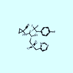 N#CC1(NC(=O)[C@H](CS(=O)(=O)Cc2ccncn2)N[C@@H](c2ccc(F)cc2)C(F)(F)F)CC1